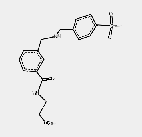 CCCCCCCCCCCCNC(=O)c1cccc(CNCc2ccc(S(C)(=O)=O)cc2)c1